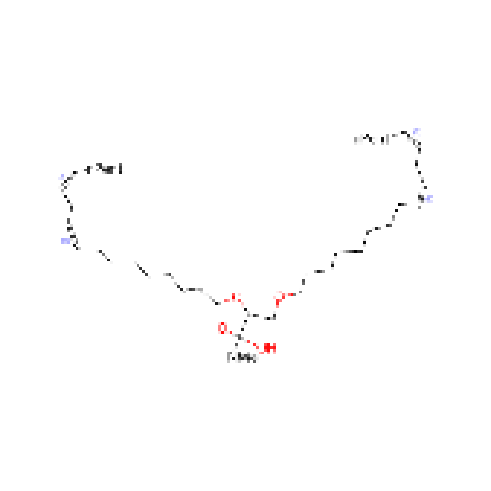 CCCCC/C=C\C/C=C\CCCCCCCCOCC(OCCCCCCCC/C=C\C/C=C\CCCCC)C(O)(O)NC